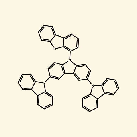 c1ccc2c(c1)oc1c(-n3c4ccc(-n5c6ccccc6c6ccccc65)cc4c4cc(-n5c6ccccc6c6ccccc65)ccc43)cccc12